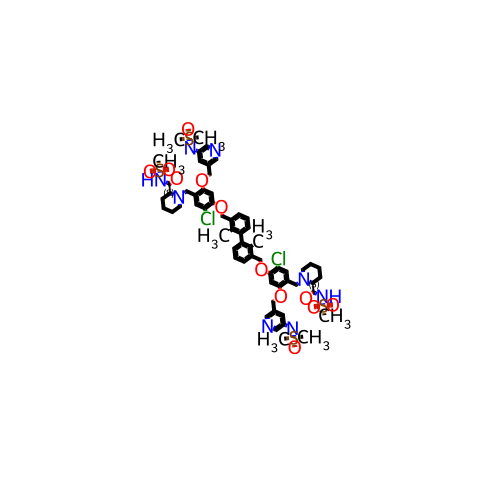 Cc1c(COc2cc(OCc3cncc(N=S(C)(C)=O)c3)c(CN3CCCC[C@H]3C(=O)NS(C)(=O)=O)cc2Cl)cccc1-c1cccc(COc2cc(OCc3cncc(N=S(C)(C)=O)c3)c(CN3CCCC[C@H]3C(=O)NS(C)(=O)=O)cc2Cl)c1C